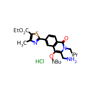 CCCCOc1c(CN)n(CC(C)C)c(=O)c2ccc(-c3nc(C)c(C(=O)OCC)s3)cc12.Cl